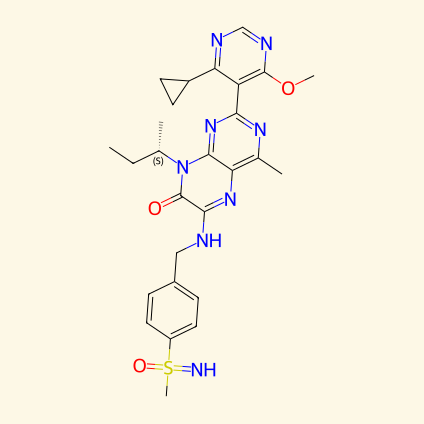 CC[C@H](C)n1c(=O)c(NCc2ccc(S(C)(=N)=O)cc2)nc2c(C)nc(-c3c(OC)ncnc3C3CC3)nc21